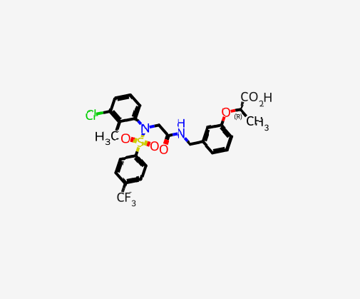 Cc1c(Cl)cccc1N(CC(=O)NCc1cccc(O[C@H](C)C(=O)O)c1)S(=O)(=O)c1ccc(C(F)(F)F)cc1